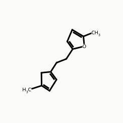 CC1=CC=C(CCc2ccc(C)o2)C1